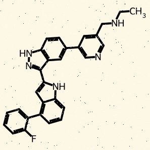 CCNCc1cncc(-c2ccc3[nH]nc(-c4cc5c(-c6ccccc6F)cccc5[nH]4)c3c2)c1